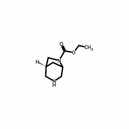 CCOC(=O)N1C[C@@H]2CNCC1C2